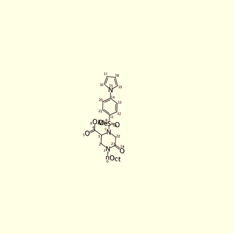 CCCCCCCCN1CC(C(=O)OC)N(S(=O)(=O)c2ccc(-n3cccc3)cc2)CC1=O